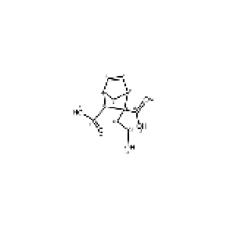 O=C(O)C1C2C=CC(C2)C1(CCO)C(=O)O